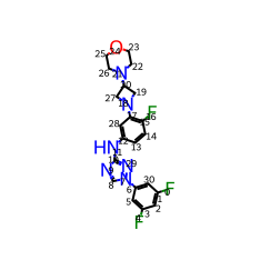 Fc1cc(F)cc(-n2cnc(Nc3ccc(F)c(N4CC(N5CCOCC5)C4)c3)n2)c1